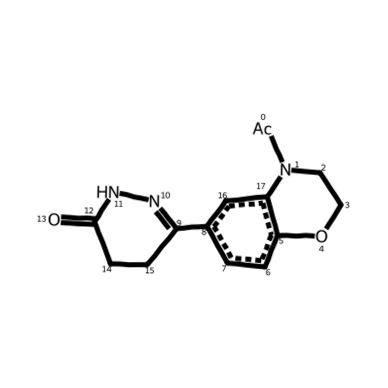 CC(=O)N1CCOc2ccc(C3=NNC(=O)CC3)cc21